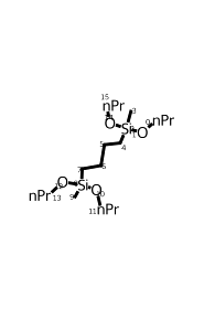 CCCO[Si](C)(CCCC[Si](C)(OCCC)OCCC)OCCC